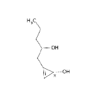 CCCC(O)CC1=C[C@H]1O